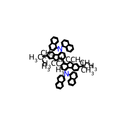 CC(C)(C)c1ccc2c(c1)C(C)(C)c1c(-c3ccc(N(c4cccc5ccccc45)c4cccc5ccccc45)c4c3C(C)(C)c3cc(C(C)(C)C)ccc3-4)ccc(N(c3ccc4ccccc4c3)c3cccc4ccccc34)c1-2